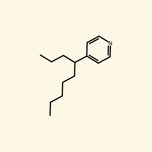 CCCCCC(CCC)c1ccncc1